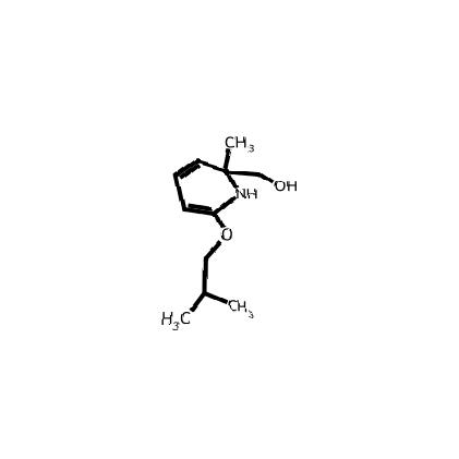 CC(C)COC1=CC=CC(C)(CO)N1